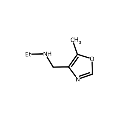 CCNCc1ncoc1C